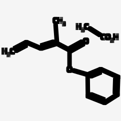 C=CC=C(C)C(=O)Oc1ccccc1.CC(=O)O